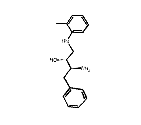 Cc1ccccc1NC[C@@H](O)[C@@H](N)Cc1ccccc1